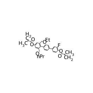 C=C(C)C(=O)Oc1cc(COCC)c(-c2ccc(-c3ccc(OC(=O)C(=C)C)c(F)c3)cc2)c(COCCC)c1